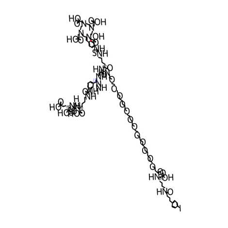 N=N/C(=C\NCC(=O)N[C@@H](CCCCNC(=S)Nc1ccc(CC2CN(CC(=O)O)CCN(CC(=O)O)CCN(CC(=O)O)CCN2CC(=O)O)cc1)C(=O)NCCOCCOCCOCCOCCOCCOCCOCCOCCOCCOCCOCCOCCC(=O)N[C@@H](CCCCNC(=O)CCCc1ccc(I)cc1)C(=O)O)c1cccc(NC(=O)NCCCC[C@H](NC(=O)N[C@@H](CCC(=O)O)C(=O)O)C(=O)O)c1